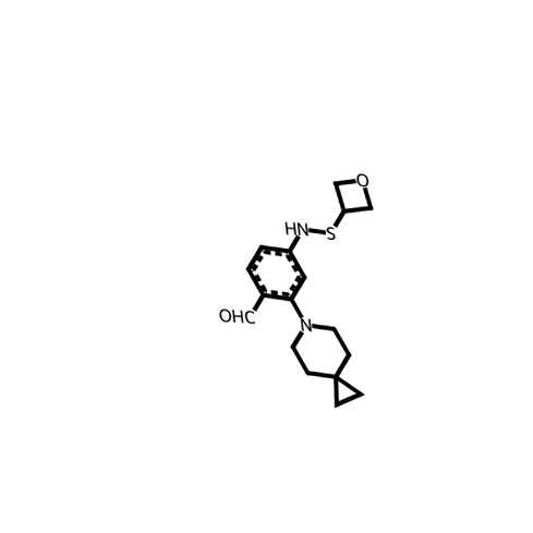 O=Cc1ccc(NSC2COC2)cc1N1CCC2(CC1)CC2